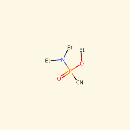 CCOP(=O)(C#N)N(CC)CC